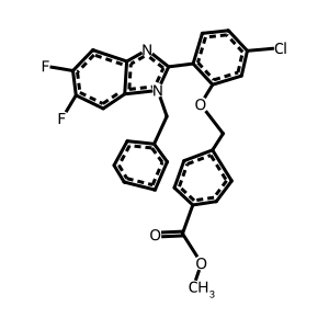 COC(=O)c1ccc(COc2cc(Cl)ccc2-c2nc3cc(F)c(F)cc3n2Cc2ccccc2)cc1